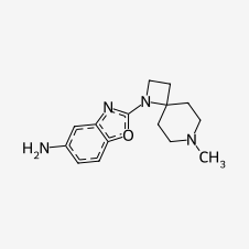 CN1CCC2(CC1)CCN2c1nc2cc(N)ccc2o1